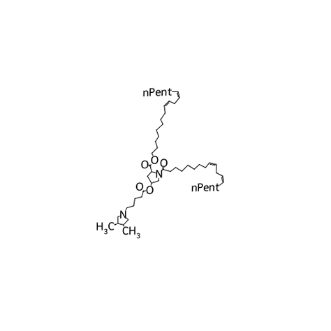 CCCCC/C=C\C/C=C\CCCCCCCCOC(=O)C1CC(OC(=O)CCCCN2C[C@@H](C)[C@@H](C)C2)CN1C(=O)CCCCCCC/C=C\C/C=C\CCCCC